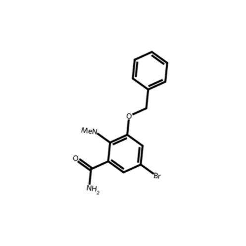 CNc1c(OCc2ccccc2)cc(Br)cc1C(N)=O